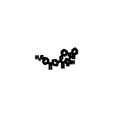 CN1CCC(Nc2ccc(C(=O)Nc3cc(-c4nc5ccccc5n4-c4ccccc4)[nH]n3)cc2)CC1